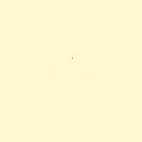 CNC(C(C)C)C(C(O)C(C)O)[C@@H](O)CO